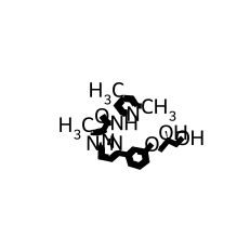 Cc1cc(C)nc(NC(=O)c2c(C)nc3ccc(-c4cccc(OC[C@H](O)CO)c4)nn23)c1